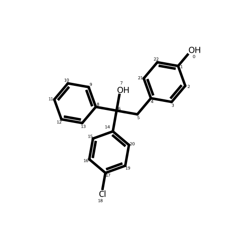 Oc1ccc(CC(O)(c2ccccc2)c2ccc(Cl)cc2)cc1